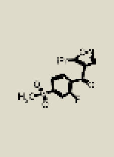 CC(C)c1oncc1C(=O)c1ccc(S(C)(=O)=O)cc1F